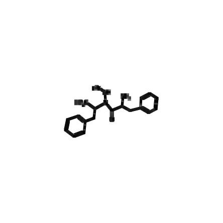 CCCNN(C(=O)C(N)Cc1ccccc1)C(Cc1ccccc1)C(=O)O